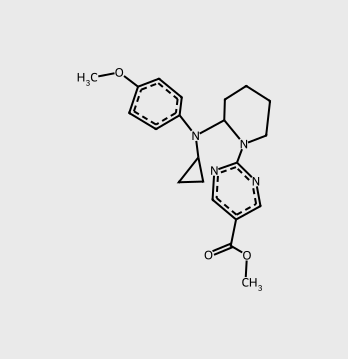 COC(=O)c1cnc(N2CCCCC2N(c2ccc(OC)cc2)C2CC2)nc1